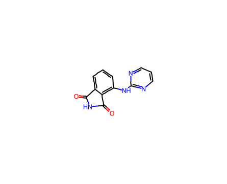 O=C1NC(=O)c2c(Nc3ncccn3)cccc21